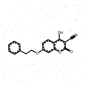 N#Cc1c(O)c2ccc(OCCc3ccccc3)cc2oc1=O